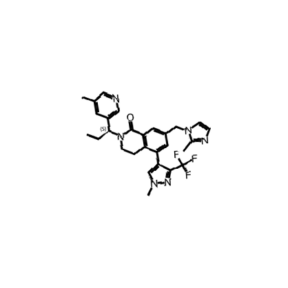 CC[C@@H](c1cncc(C)c1)N1CCc2c(cc(Cn3ccnc3C)cc2-c2cn(C)nc2C(F)(F)F)C1=O